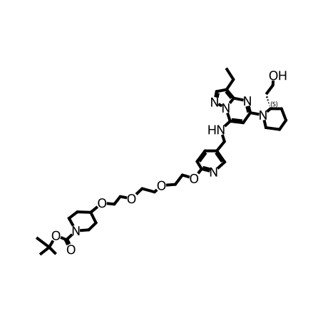 CCc1cnn2c(NCc3ccc(OCCOCCOCCOC4CCN(C(=O)OC(C)(C)C)CC4)nc3)cc(N3CCCC[C@H]3CCO)nc12